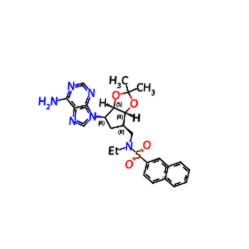 CCN(C[C@H]1C[C@@H](n2cnc3c(N)ncnc32)[C@@H]2OC(C)(C)O[C@H]12)S(=O)(=O)c1ccc2ccccc2c1